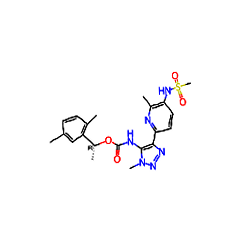 Cc1ccc(C)c([C@@H](C)OC(=O)Nc2c(-c3ccc(NS(C)(=O)=O)c(C)n3)nnn2C)c1